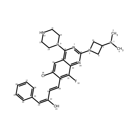 CN(C)C1CN(c2nc(N3CCNCC3)c3cc(Cl)c(/C=C/C(O)=C\c4ccccc4)c(F)c3n2)C1